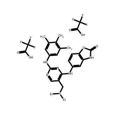 CCN(CC)Cc1cnc(Nc2cc(C)c(C)c(C)c2)nc1Nc1ccc2oc(=O)[nH]c2c1.O=C(O)C(F)(F)F.O=C(O)C(F)(F)F